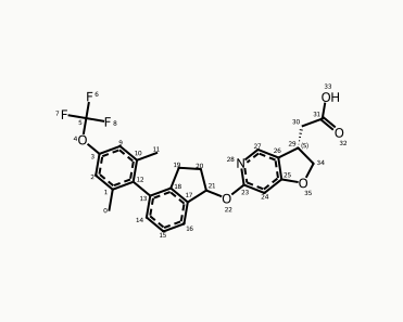 Cc1cc(OC(F)(F)F)cc(C)c1-c1cccc2c1CCC2Oc1cc2c(cn1)[C@H](CC(=O)O)CO2